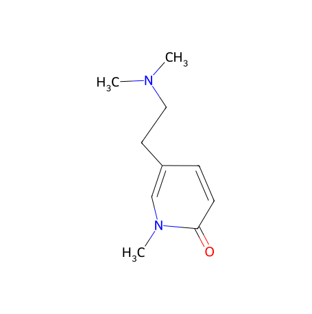 CN(C)CCc1ccc(=O)n(C)c1